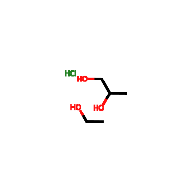 CC(O)CO.CCO.Cl